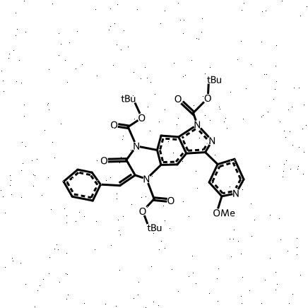 COc1cc(-c2nn(C(=O)OC(C)(C)C)c3cc4c(cc23)N(C(=O)OC(C)(C)C)/C(=C/c2ccccc2)C(=O)N4C(=O)OC(C)(C)C)ccn1